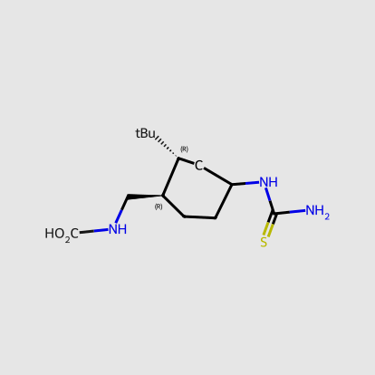 CC(C)(C)[C@@H]1CC(NC(N)=S)CC[C@H]1CNC(=O)O